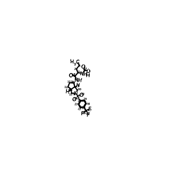 CCCC(NC(=O)O)C(=O)N[C@H]1CC[C@@H]2CN(S(=O)(=O)c3ccc(C(F)(F)F)cc3)C[C@@H]21